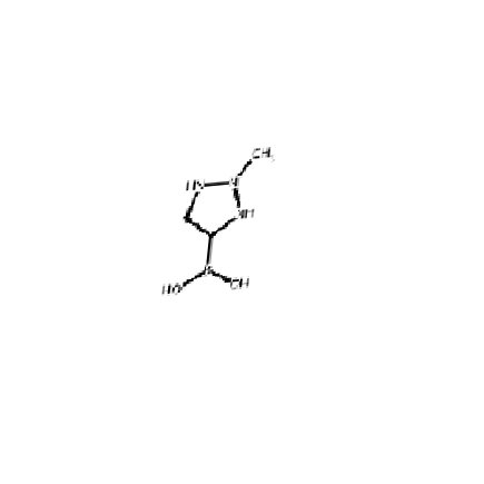 CN1NCC(B(O)O)N1